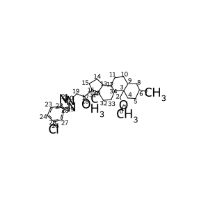 COCC12CCC(C)CC1CCC1C3CCC(C(=O)Cn4nc5ccc(Cl)cc5n4)C3(C)CCC12